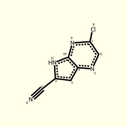 N#Cc1cc2ncc(Cl)nc2[nH]1